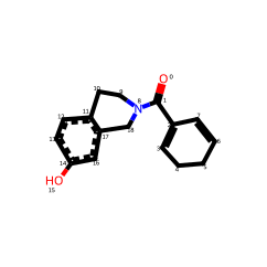 O=C(C1=CCCC=C1)N1CCc2ccc(O)cc2C1